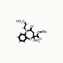 CC(C)(C)OC(=O)C1(N)CC(=O)N(CCC(=O)O)c2ccccc2O1